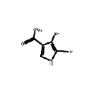 COC(=O)c1c[nH]c(Br)c1C(C)C